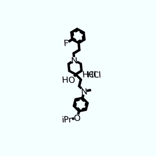 CC(C)Oc1ccc(N(C)CCC2(O)CCN(CCc3ccccc3F)CC2)cc1.Cl.Cl